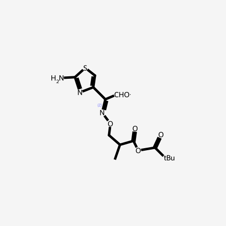 CC(CO/N=C(\[C]=O)c1csc(N)n1)C(=O)OC(=O)C(C)(C)C